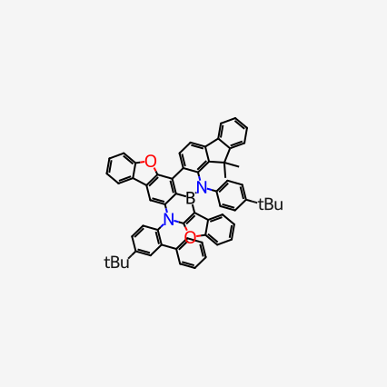 CC(C)(C)c1ccc(N2B3c4c(cc5c(oc6ccccc65)c4-c4ccc5c(c42)C(C)(C)c2ccccc2-5)N(c2ccc(C(C)(C)C)cc2-c2ccccc2)c2oc4ccccc4c23)cc1